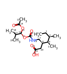 CC[C@@H](C)[C@@H](C)[C@H](CNC(=O)O[C@H](OC(C)=O)C(C)C)CC(=O)O